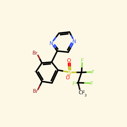 O=S(=O)(c1cc(Br)[c]c(Br)c1-c1cnccn1)C(F)(F)C(F)(F)C(F)(F)F